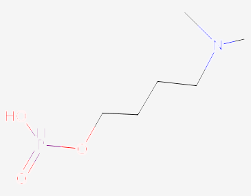 CN(C)CCCCO[PH](=O)O